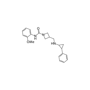 COc1ccccc1NC(=O)N1CC(CNC2CC2c2ccccc2)C1